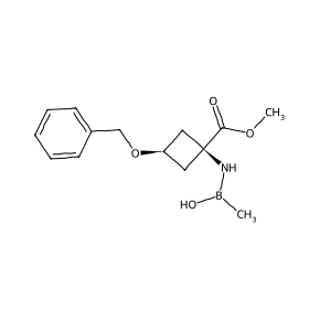 COC(=O)[C@]1(NB(C)O)C[C@@H](OCc2ccccc2)C1